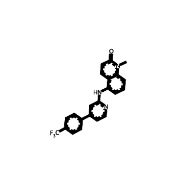 Cn1c(=O)ccc2c(Nc3cc(-c4ccc(C(F)(F)F)cc4)ccn3)cccc21